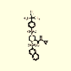 CC(C)(C)c1ccc(S(=O)(=O)N2CCN(S(=O)(=O)c3ccc4ncccc4c3)C(C(=O)NC3CC3)C2)cc1